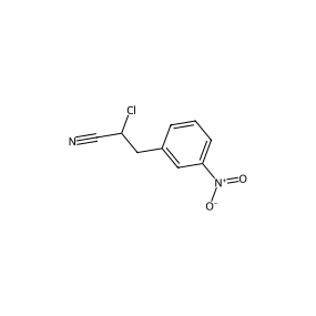 N#CC(Cl)Cc1cccc([N+](=O)[O-])c1